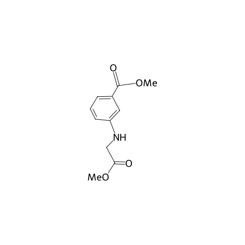 COC(=O)CNc1cccc(C(=O)OC)c1